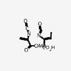 C=C(N=C=O)C(=O)OC.CC=C(N=C=O)C(=O)O